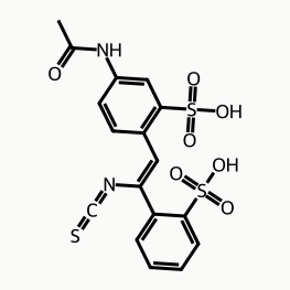 CC(=O)Nc1ccc(C=C(N=C=S)c2ccccc2S(=O)(=O)O)c(S(=O)(=O)O)c1